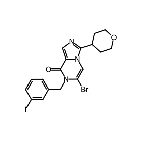 O=c1c2cnc(C3CCOCC3)n2cc(Br)n1Cc1cccc(I)c1